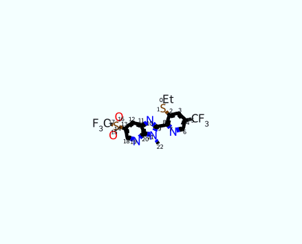 CCSc1cc(C(F)(F)F)cnc1-c1nc2cc(S(=O)(=O)C(F)(F)F)cnc2n1C